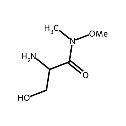 CON(C)C(=O)C(N)CO